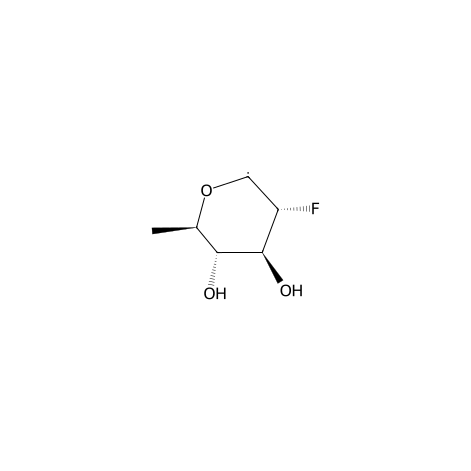 C[C@H]1O[CH][C@H](F)[C@@H](O)[C@@H]1O